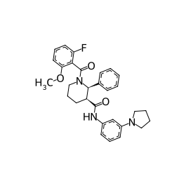 COc1cccc(F)c1C(=O)N1CCC[C@H](C(=O)Nc2cccc(N3CCCC3)c2)[C@@H]1c1ccccc1